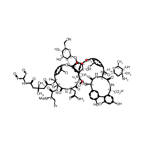 CN[C@H](CC(C)C)C(=O)N[C@H]1C(=O)N[C@@H](CC(N)=O)C(=O)N[C@H]2C(=O)N[C@H]3C(=O)N[C@H](C(=O)N[C@H](C(=O)O)c4cc(O)cc(O)c4-c4cc3ccc4O)[C@H](O[C@H]3C[C@](C)(N)[C@@H](O)[C@H](C)O3)c3ccc(c(Cl)c3)Oc3cc2cc(c3O[C@@H]2O[C@H](CO)[C@@H](O)[C@H](O)[C@H]2O[C@H]2C[C@](C)(N)[C@@H](O)[C@H](C)O2)Oc2ccc(cc2Cl)[C@H]1OC(=O)CC(C)(C)CC(=O)NC(P=O)P=O